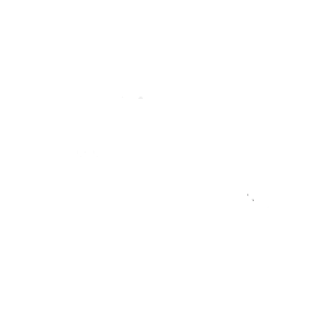 CCCCCC(C(=O)OCC)c1ccc(N)c(F)c1